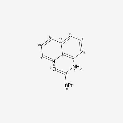 CCCC(N)=O.c1ccc2ncccc2c1